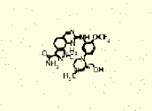 CN1CCN(c2ccc(OC(F)(F)F)c(Nc3ncc4c(n3)-c3c(c(C(N)=O)nn3C)CC4)c2)[C@@H](CO)C1